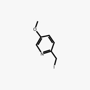 COc1ccc(CI)nc1